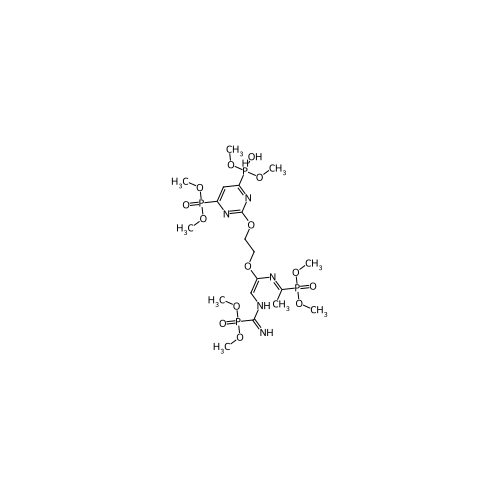 COP(=O)(OC)C(=N)N/C=C(\N=C(/C)P(=O)(OC)OC)OCCOc1nc(P(=O)(OC)OC)cc([PH](O)(OC)OC)n1